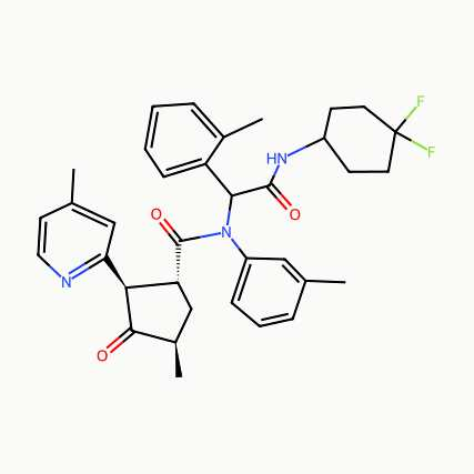 Cc1cccc(N(C(=O)[C@@H]2C[C@@H](C)C(=O)[C@H]2c2cc(C)ccn2)C(C(=O)NC2CCC(F)(F)CC2)c2ccccc2C)c1